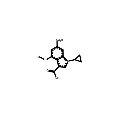 CCOc1cc(C(=O)O)cc2c1c(C(N)=O)cn2C1CC1